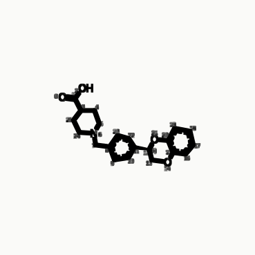 O=C(O)C1CCN(Cc2ccc([C@@H]3COc4ccccc4O3)cc2)CC1